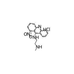 CNCCNc1c2ccccc2nc2cccc([N+](=O)[O-])c12.Cl